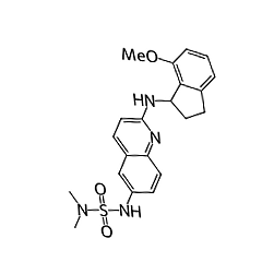 COc1cccc2c1C(Nc1ccc3cc(NS(=O)(=O)N(C)C)ccc3n1)CC2